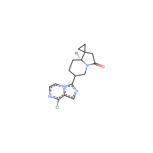 O=C1CC2(CC2)[C@@H]2CCC(c3ncc4c(Cl)nccn34)CN12